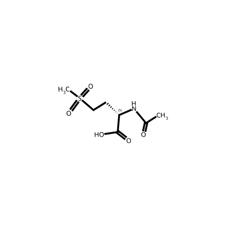 CC(=O)N[C@@H](CCS(C)(=O)=O)C(=O)O